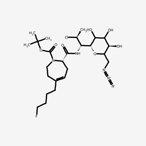 C[C@H](Cl)[C@@H](NC(=O)[C@@H]1CC=C(CCCCF)CCN1C(=O)OC(C)(C)C)[C@H]1OC(CN=[N+]=[N-])[C@H](O)C(O)C1O